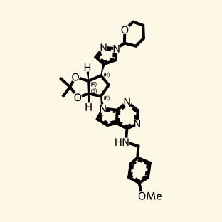 COc1ccc(CNc2ncnc3c2ccn3[C@@H]2C[C@H](c3cnn(C4CCCCO4)c3)[C@H]3OC(C)(C)O[C@H]32)cc1